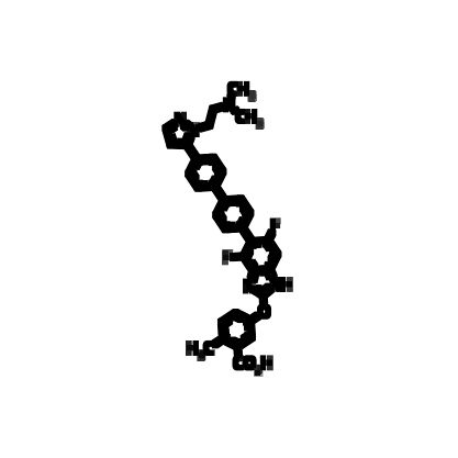 Cc1ccc(Oc2nc3c(F)c(-c4ccc(-c5ccc(-c6ccnn6CCN(C)C)cc5)cc4)c(F)cc3[nH]2)cc1C(=O)O